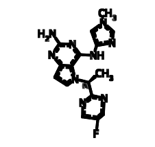 C[C@@H](c1ncc(F)cn1)n1ccc2nc(N)nc(Nc3cn(C)cn3)c21